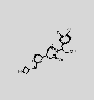 O=c1cc(-c2ccnc(NC3CNC3)n2)ccn1C(CO)c1ccc(Cl)c(F)c1